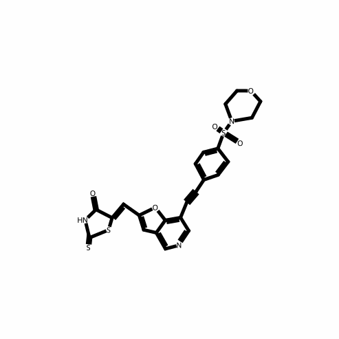 O=C1NC(=S)S/C1=C\c1cc2cncc(C#Cc3ccc(S(=O)(=O)N4CCOCC4)cc3)c2o1